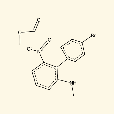 CNc1cccc([N+](=O)[O-])c1-c1ccc(Br)cc1.COC=O